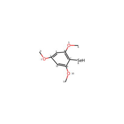 COc1cc(OC)c([SeH])c(OC)c1